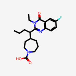 CCCC(c1nc2ccc(F)cc2c(=O)n1CC)C1CCCN(C(=O)O)CC1